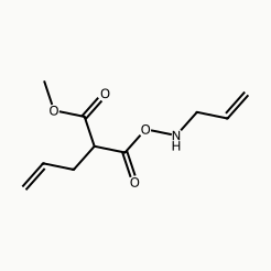 C=CCNOC(=O)C(CC=C)C(=O)OC